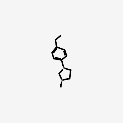 CCc1ccc(N2CCN(C)C2)cc1